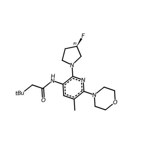 Cc1cc(NC(=O)CC(C)(C)C)c(N2CC[C@@H](F)C2)nc1N1CCOCC1